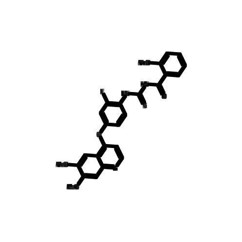 COc1cc2nccc(Oc3ccc(NC(=S)NC(=O)c4ccccc4OC)c(F)c3)c2cc1OC